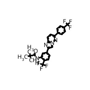 CC(C)(C)C(=O)Nc1cc(-c2cn3nc(-c4ccc(C(F)(F)F)cc4)ccc3n2)ccc1C(F)(F)F